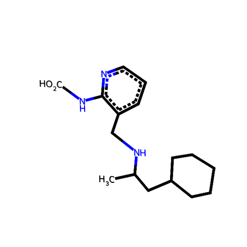 CC(CC1CCCCC1)NCc1cccnc1NC(=O)O